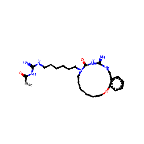 CNC(=O)NC(=N)NCCCCCCN1CCCCCCOc2ccccc2CNC(=N)NC1=O